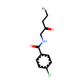 CC(=O)CCC(=O)CNC(=O)c1ccc(Cl)cc1